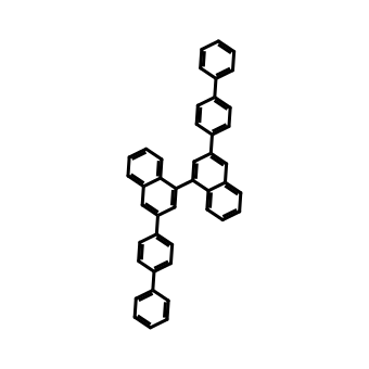 c1ccc(-c2ccc(-c3cc(-c4cc(-c5ccc(-c6ccccc6)cc5)cc5ccccc45)c4ccccc4c3)cc2)cc1